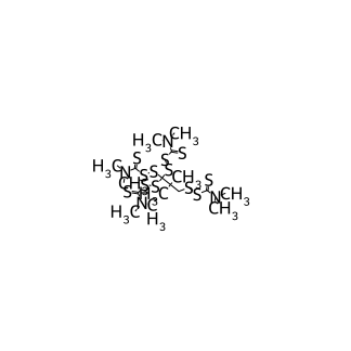 CN(C)C(=S)SSCC(C)(C)C(SSC(=S)N(C)C)(SSC(=S)N(C)C)SSC(=S)N(C)C